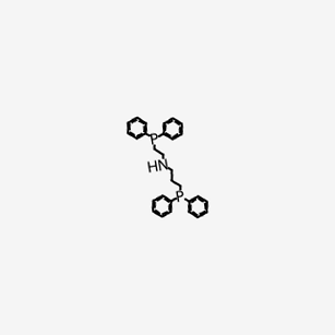 c1ccc(P(CCCNCCP(c2ccccc2)c2ccccc2)c2ccccc2)cc1